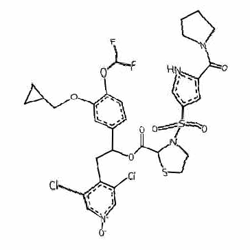 O=C(OC(Cc1c(Cl)c[n+]([O-])cc1Cl)c1ccc(OC(F)F)c(OCC2CC2)c1)C1SCCN1S(=O)(=O)c1c[nH]c(C(=O)N2CCCC2)c1